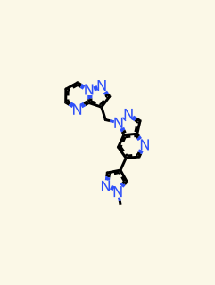 Cn1cc(-c2cnc3cnn(Cc4cnn5cccnc45)c3c2)cn1